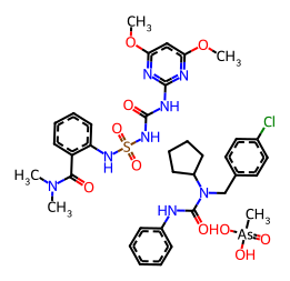 COc1cc(OC)nc(NC(=O)NS(=O)(=O)Nc2ccccc2C(=O)N(C)C)n1.C[As](=O)(O)O.O=C(Nc1ccccc1)N(Cc1ccc(Cl)cc1)C1CCCC1